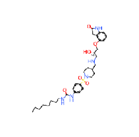 CCCCCCCCNC(=O)Nc1ccc(S(=O)(=O)N2CCC(CNC[C@H](O)COc3cccc4c3CC(=O)N4)CC2)cc1